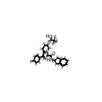 O=C(NC1Cc2ccccc2C1)c1nc(-c2ccc(F)cc2)c2ccccn12.O=C(O)C(F)(F)F